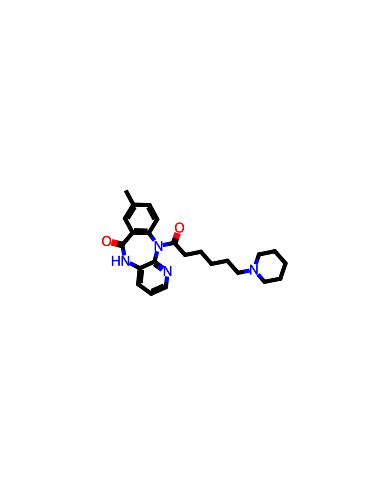 Cc1ccc2c(c1)C(=O)Nc1cccnc1N2C(=O)CCCCCN1CCCCC1